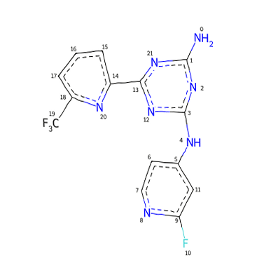 Nc1nc(Nc2ccnc(F)c2)nc(-c2cccc(C(F)(F)F)n2)n1